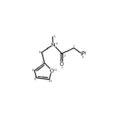 CC(C)CC(=O)N(C)Cc1ccco1